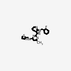 Cc1cc(NCc2cccs2)nc(-c2nn(Cc3ccccc3F)c3ncccc23)n1